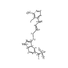 Cc1c(Cl)cccc1NC=NCCc1c[nH]c2ccc(N(C)S(C)(=O)=O)cc12